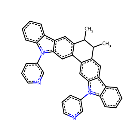 CC1c2cc3c4ccccc4n(-c4cccnc4)c3cc2-c2cc3c(cc2C1C)c1ccccc1n3-c1cccnc1